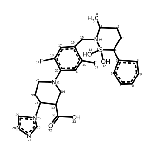 CC1CCC(c2ccccc2)S(O)(O)N1Cc1cc(F)c(N2CCC(n3cnnc3)C(C(=O)O)C2)cc1F